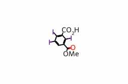 COC(=O)c1cc(I)c(I)c(C(=O)O)c1I